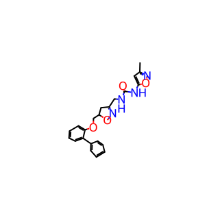 Cc1cc(NC(=O)NCC2=NOC(COc3ccccc3-c3ccccc3)C2)on1